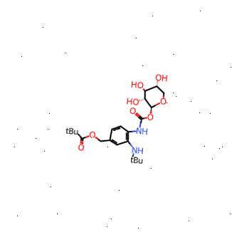 CC(C)(C)Nc1cc(COC(=O)C(C)(C)C)ccc1NC(=O)O[C@@H]1OC[C@@H](O)[C@H](O)[C@H]1O